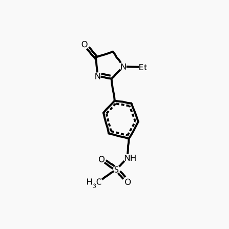 CCN1CC(=O)N=C1c1ccc(NS(C)(=O)=O)cc1